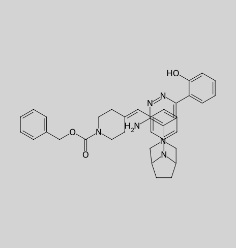 Nc1nnc(-c2ccccc2O)cc1N1CC2CCC(C1)N2c1cccc(C=C2CCN(C(=O)OCc3ccccc3)CC2)c1